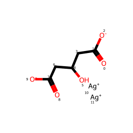 O=C([O-])CC(O)CC(=O)[O-].[Ag+].[Ag+]